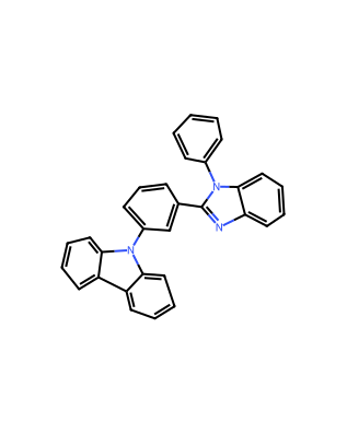 c1ccc(-n2c(-c3cccc(-n4c5ccccc5c5ccccc54)c3)nc3ccccc32)cc1